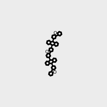 c1ccc2c(c1)oc1ccc(-c3c4ccccc4c(-c4ccc5c(c4)oc4ccc(-c6c7ccccc7c(-c7ccc8oc9ccccc9c8c7)c7ccccc67)cc45)c4ccccc34)cc12